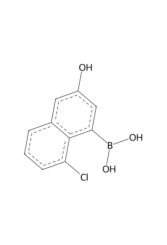 OB(O)c1cc(O)cc2cccc(Cl)c12